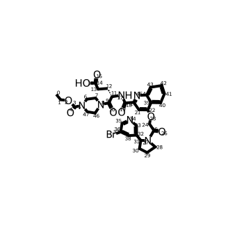 CCOC(=O)N1CCN(C(=O)[C@H](CCC(=O)O)NC(=O)c2cc(OCC(=O)N3CCCC3c3cncc(Br)c3)c3ccccc3n2)CC1